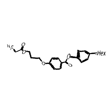 C=CC(=O)OCCCOc1ccc(C(=O)Oc2ccc(CCCCCC)cc2)cc1